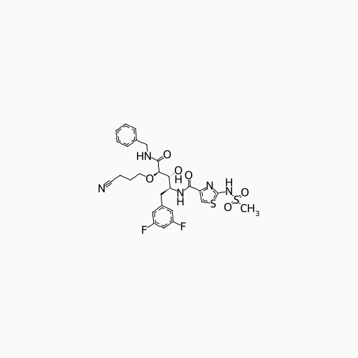 CS(=O)(=O)Nc1nc(C(=O)N[C@@H](Cc2cc(F)cc(F)c2)[C@@H](O)[C@@H](OCCCC#N)C(=O)NCc2ccccc2)cs1